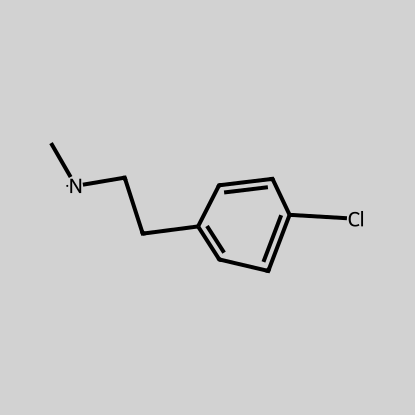 C[N]CCc1ccc(Cl)cc1